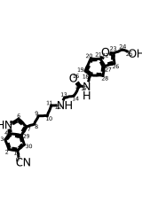 N#Cc1ccc2[nH]cc(CCCCNCCC(=O)Nc3ccc4oc(CO)cc4c3)c2c1